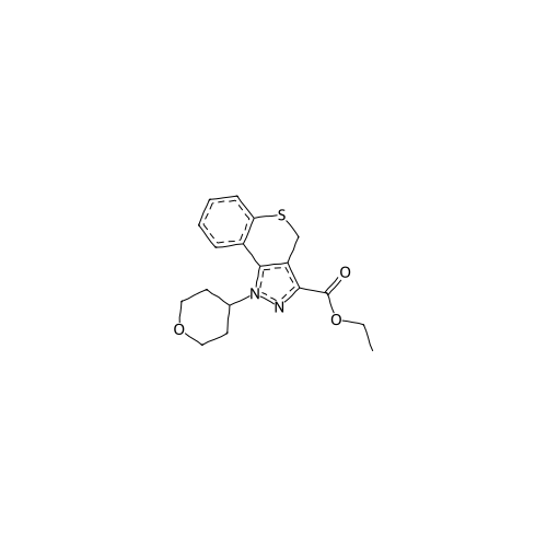 CCOC(=O)c1nn(C2CCOCC2)c2c1CSc1ccccc1-2